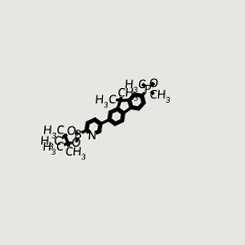 CC1(C)c2cc(-c3ccc(B4OC(C)(C)C(C)(C)O4)nc3)ccc2-c2ccc(P(C)(C)=O)cc21